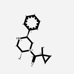 C[C@@H]1CN[C@@H](c2ccccc2)CN1C(=O)C1(C)CC1